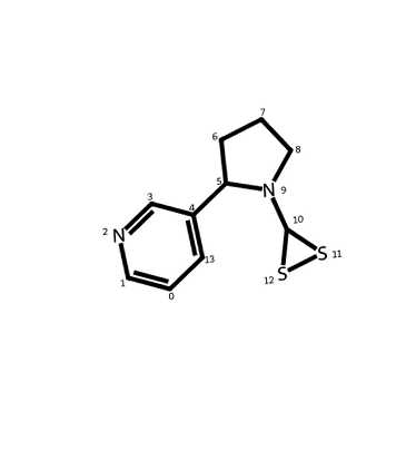 c1cncc(C2CCCN2C2SS2)c1